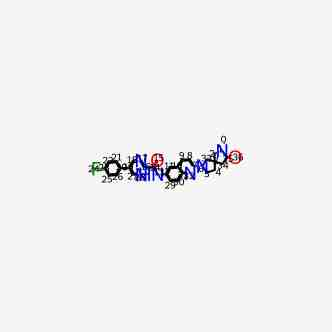 CN1CC2(CCN(c3ccc4cc(NC(=O)c5ncc(-c6ccc(F)cc6)cn5)ccc4n3)C2)CC1=O